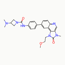 COCCn1c(=O)n(C)c2cnc3ccc(-c4ccc(NC(=O)N5CC(N(C)C)C5)cc4)cc3c21